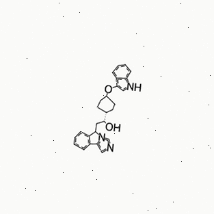 OC(CC1c2ccccc2-c2cncn21)[C@H]1CC[C@H](Oc2c[nH]c3ccccc23)CC1